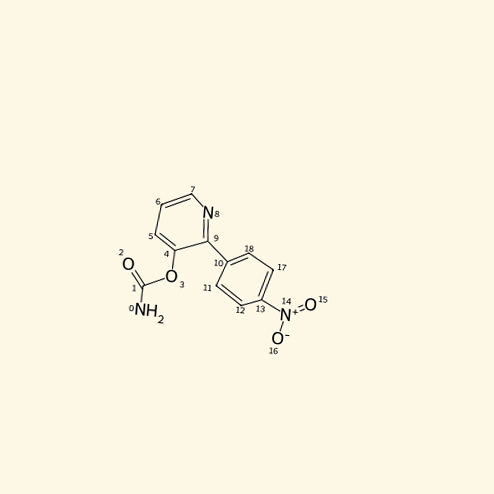 NC(=O)Oc1cccnc1-c1ccc([N+](=O)[O-])cc1